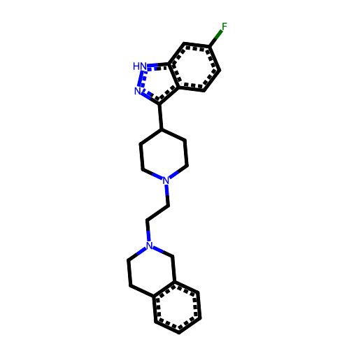 Fc1ccc2c(C3CCN(CCN4CCc5ccccc5C4)CC3)n[nH]c2c1